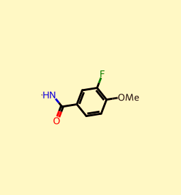 COc1ccc(C([NH])=O)cc1F